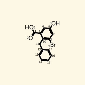 O=C(O)c1cc(O)cc(Br)c1Cc1ccccc1